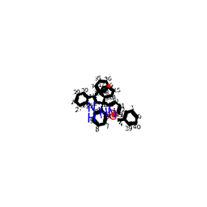 c1ccc(COc2ccccc2[C@@](c2ccccc2)(c2ccc[nH]2)c2[nH]c3ccccc3c2-c2ccccc2)cc1